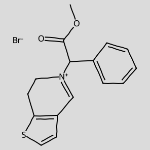 COC(=O)C(c1ccccc1)[N+]1=Cc2ccsc2CC1.[Br-]